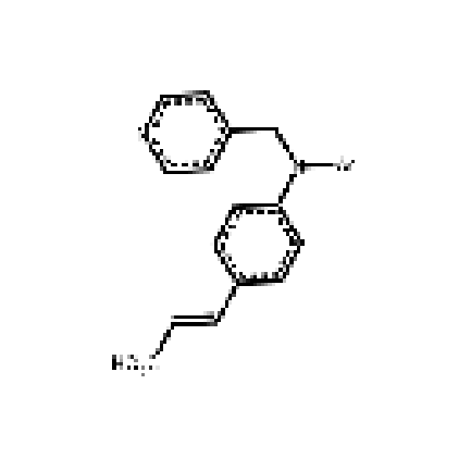 CC(=O)N(Cc1ccncc1)c1ccc(C=CC(=O)O)cc1